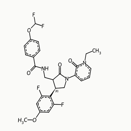 CCn1cccc(N2C[C@@H](c3c(F)cc(OC)cc3F)C(CNC(=O)c3ccc(OC(F)F)cc3)C2=O)c1=O